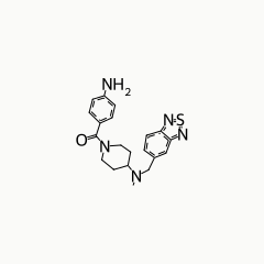 CN(Cc1ccc2nsnc2c1)C1CCN(C(=O)c2ccc(N)cc2)CC1